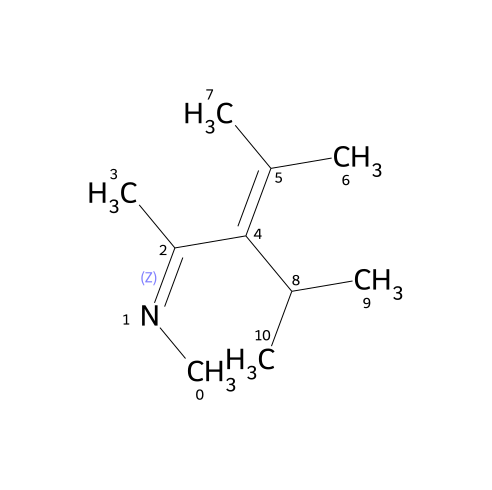 C/N=C(/C)C(=C(C)C)C(C)C